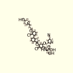 N#Cc1cncc(COc2cc(O[C@H]3CCc4c(-c5cccc(OCCCN6CCC(O)CC6)c5Cl)cccc43)c(Cl)cc2CN[C@@H](CO)C(=O)O)c1